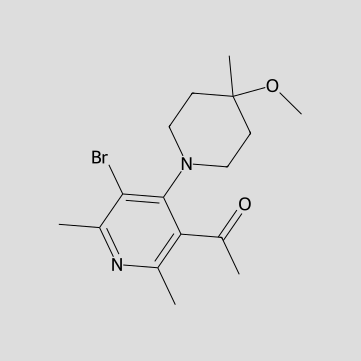 COC1(C)CCN(c2c(Br)c(C)nc(C)c2C(C)=O)CC1